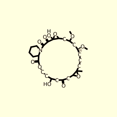 COC1CC2OC2(O)C(=O)C(=O)N2CCCCC2C(=O)OCCC(O)CC(=O)CC2OC2(C)CCC[C@H](OC)C1